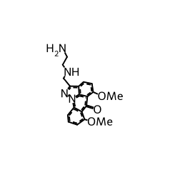 COc1cccc2c1c(=O)c1c(OC)ccc3c(CNCCN)nn2c31